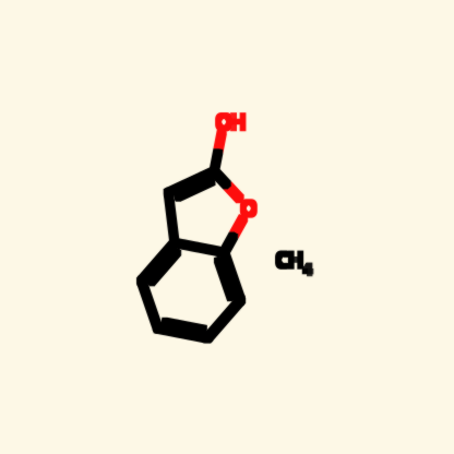 C.Oc1cc2ccccc2o1